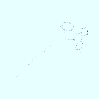 CCCCCCCCCCCCCCCCc1ccccc1N(C(N)=O)c1ccccc1-c1nnn[nH]1